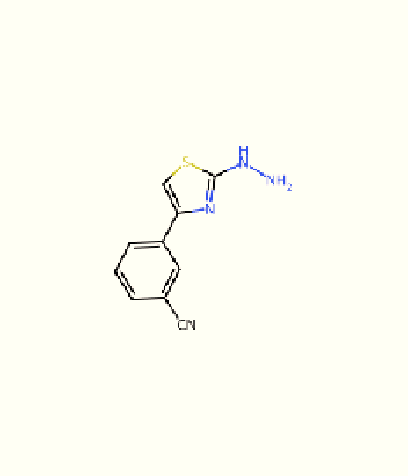 N#Cc1cccc(-c2csc(NN)n2)c1